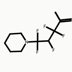 C=C(C)C(F)(F)C(F)C(F)(F)N1CCCCC1